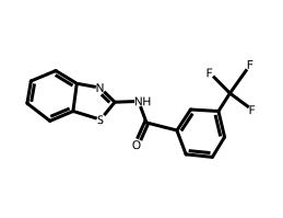 O=C(Nc1nc2ccccc2s1)c1cccc(C(F)(F)F)c1